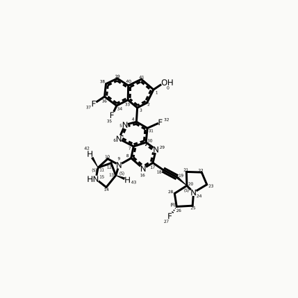 Oc1cc(-c2nnc3c(N4C[C@@H]5C[C@H]4CN5)nc(C#C[C@@]45CCCN4C[C@H](F)C5)nc3c2F)c2c(F)c(F)ccc2c1